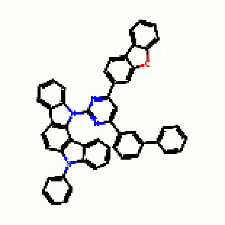 c1ccc(-c2cccc(-c3cc(-c4ccc5c(c4)oc4ccccc45)nc(-n4c5ccccc5c5ccc6c(c7ccccc7n6-c6ccccc6)c54)n3)c2)cc1